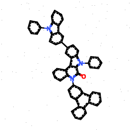 O=c1c2c(c3ccccc3n1-c1ccc3c4ccccc4c4ccccc4c3c1)c1cc(-c3ccc4c(c3)c3ccccc3n4-c3ccccc3)ccc1n2-c1ccccc1